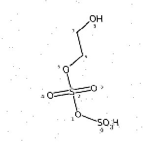 O=S(=O)(O)OS(=O)(=O)OCCO